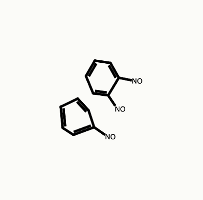 O=Nc1ccccc1.O=Nc1ccccc1N=O